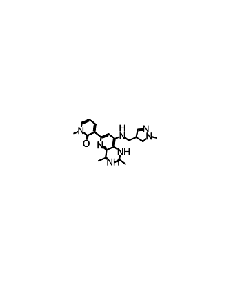 CC(=N)c1nc(-c2cccn(C)c2=O)cc(NCC2C=NN(C)C2)c1NC(C)C